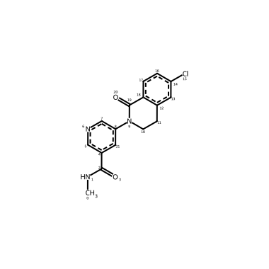 CNC(=O)c1cncc(N2CCc3cc(Cl)ccc3C2=O)c1